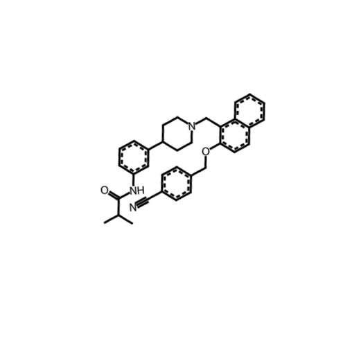 CC(C)C(=O)Nc1cccc(C2CCN(Cc3c(OCc4ccc(C#N)cc4)ccc4ccccc34)CC2)c1